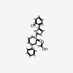 O=C(O)C[C@H]1C(=O)N(c2nc(-c3ccccc3Cl)cs2)CC=C[C@@H]1c1ccccc1